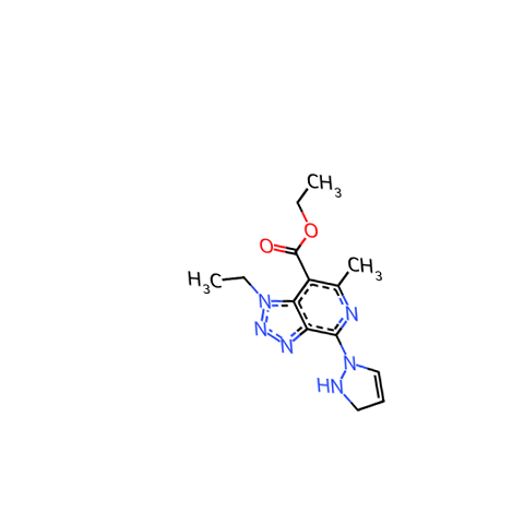 CCOC(=O)c1c(C)nc(N2C=CCN2)c2nnn(CC)c12